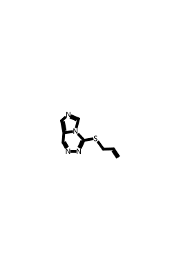 C=CCSc1nncc2cncn12